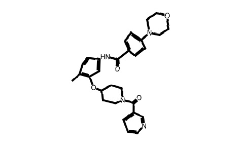 Cc1ccc(NC(=O)c2ccc(N3CCOCC3)cc2)cc1OC1CCN(C(=O)c2cccnc2)CC1